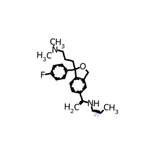 C=C(N/C=C\C)c1ccc2c(c1)COC2(CCCN(C)C)c1ccc(F)cc1